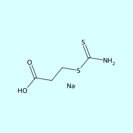 NC(=S)SCCC(=O)O.[Na]